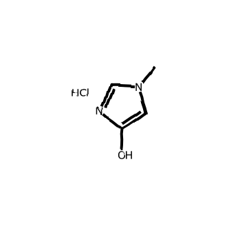 Cl.Cn1cnc(O)c1